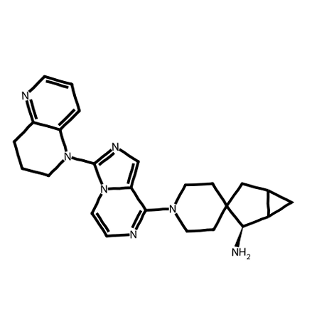 N[C@@H]1C2CC2CC12CCN(c1nccn3c(N4CCCc5ncccc54)ncc13)CC2